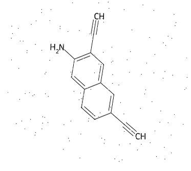 C#Cc1ccc2cc(N)c(C#C)cc2c1